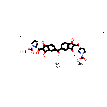 CC(C)(C)OC(=O)N1CC[C@@H](C(=O)C2C(=O)c3ccc(C(=O)c4ccc5c(c4)C(=O)C(C(=O)[C@H]4CCCN4C(=O)OC(C)(C)C)C5=O)cc3C2=O)C1.[Na].[Na]